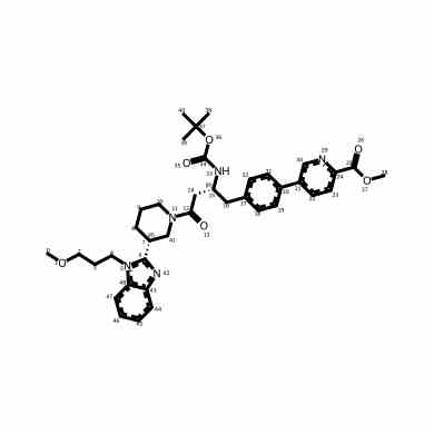 COCCCn1c([C@@H]2CCCN(C(=O)C[C@@H](Cc3ccc(-c4ccc(C(=O)OC)nc4)cc3)NC(=O)OC(C)(C)C)C2)nc2ccccc21